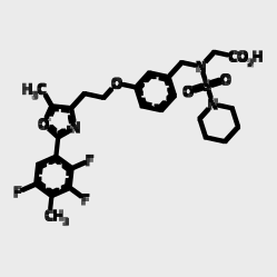 Cc1oc(-c2cc(F)c(C)c(F)c2F)nc1CCOc1cccc(CN(CC(=O)O)S(=O)(=O)N2CCCCC2)c1